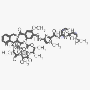 C/C=C\C(=N/C(C)(C)/C=C\NC)NC(=O)c1nc(NOc2cc3c(cc2OC)C(=O)N2Cc4ccccc4C[C@H]2C(S(=O)(=O)O)N3C(=O)O[C@H](C)C(C)NC(=O)[C@@H](C)NC(=O)[C@@H](C)NC)cn1C